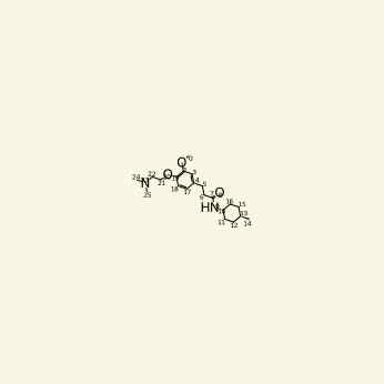 COc1cc(CCC(=O)N[C@H]2CC[C@H](C)CC2)ccc1OCCN(C)C